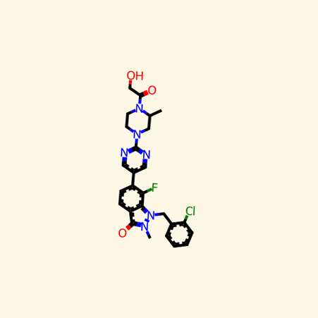 CC1CN(c2ncc(-c3ccc4c(=O)n(C)n(Cc5ccccc5Cl)c4c3F)cn2)CCN1C(=O)CO